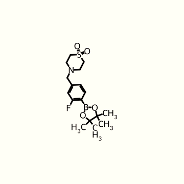 CC1(C)OB(c2ccc(CN3CCS(=O)(=O)CC3)cc2F)OC1(C)C